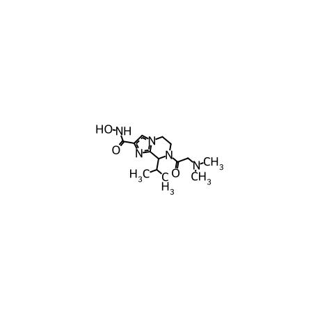 CC(C)C1c2nc(C(=O)NO)cn2CCN1C(=O)CN(C)C